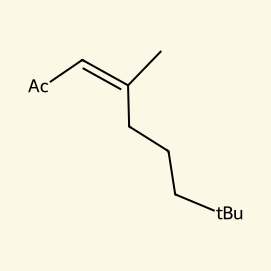 CC(=O)C=C(C)CCCC(C)(C)C